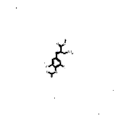 COC(=O)/C(=C/c1cc(Cl)c(OC(F)F)c(Cl)c1)CN